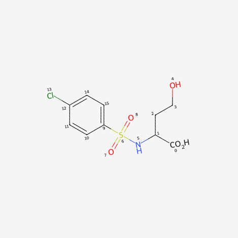 O=C(O)C(CCO)NS(=O)(=O)c1ccc(Cl)cc1